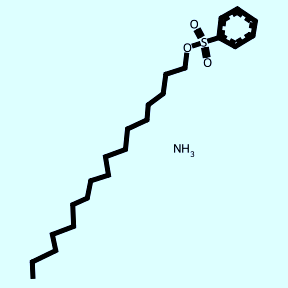 CCCCCCCCCCCCCCCCCOS(=O)(=O)c1ccccc1.N